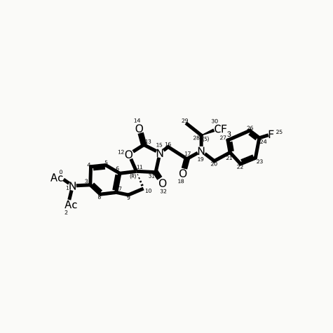 CC(=O)N(C(C)=O)c1ccc2c(c1)CC[C@@]21OC(=O)N(CC(=O)N(Cc2ccc(F)cc2)[C@@H](C)C(F)(F)F)C1=O